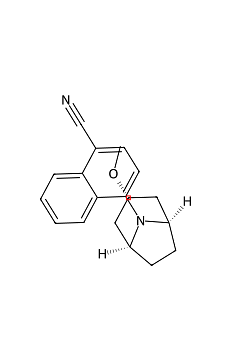 CO[C@@H]1C[C@H]2CC[C@@H](C1)N2c1ccc(C#N)c2ccccc12